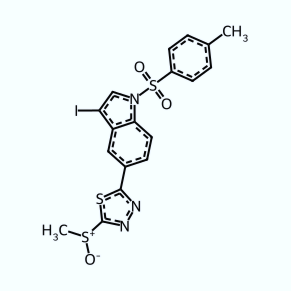 Cc1ccc(S(=O)(=O)n2cc(I)c3cc(-c4nnc([S+](C)[O-])s4)ccc32)cc1